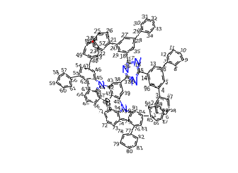 c1ccc(-c2cc(-c3ccccc3)cc(-c3nc(-c4cc(-c5ccccc5)cc(-c5ccccc5)c4)nc(-c4cc5c6c(c4)-n4c7cc(-c8ccccc8)cc(-c8ccccc8)c7c7cccc(c74)B6c4cccc6c7c(-c8ccccc8)cc(-c8ccccc8)cc7n-5c46)n3)c2)cc1